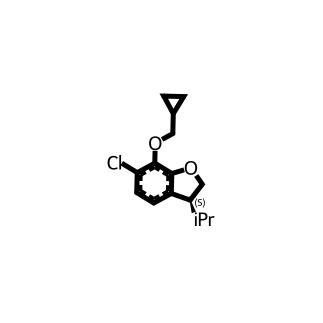 CC(C)[C@@H]1COc2c1ccc(Cl)c2OCC1CC1